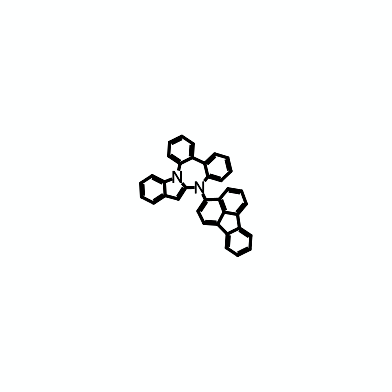 c1ccc2c(c1)-c1cccc3c(N4c5ccccc5-c5ccccc5-n5c4cc4ccccc45)ccc-2c13